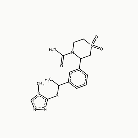 CC(Sc1nncn1C)c1cccc(C2CS(=O)(=O)CCN2C(N)=O)c1